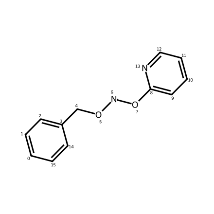 c1ccc(CO[N]Oc2ccccn2)cc1